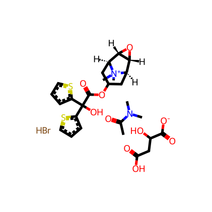 Br.CC(=O)N(C)C.C[N+]1(C)[C@@H]2CC(OC(=O)C(O)(c3cccs3)c3cccs3)C[C@H]1[C@@H]1O[C@@H]12.O=C(O)CC(O)C(=O)[O-]